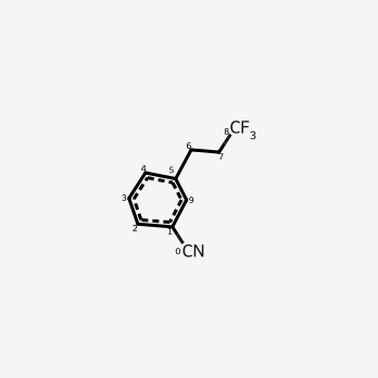 N#Cc1cccc(CCC(F)(F)F)c1